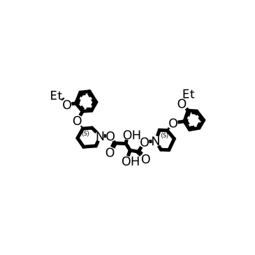 CCOc1ccccc1O[C@H]1CCCN(OC(=O)C(O)C(O)C(=O)ON2CCC[C@H](Oc3ccccc3OCC)C2)C1